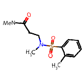 CNC(=O)CCN(C)S(=O)(=O)c1ccccc1C